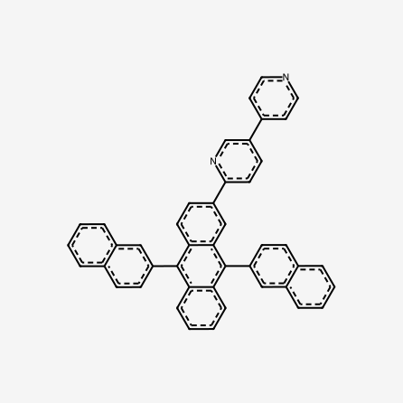 c1ccc2cc(-c3c4ccccc4c(-c4ccc5ccccc5c4)c4cc(-c5ccc(-c6ccncc6)cn5)ccc34)ccc2c1